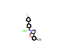 Cl.N#Cc1ccc2c(c1)C1CCCN(Cc3ccc(-c4ccc(F)cc4)cc3)C1CO2